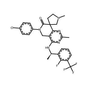 Cc1nc(N[C@H](C)c2cccc(C(F)(F)F)c2F)c2c(n1)C1(CCN(C)C1)C(=O)N(c1ccc(Cl)cc1)C2